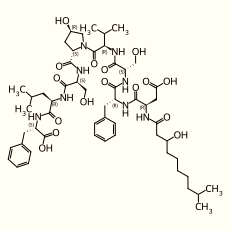 CC(C)CCCCCC(O)CC(=O)N[C@H](CC(=O)O)C(=O)N[C@H](Cc1ccccc1)C(=O)N[C@@H](CO)C(=O)N[C@@H](C(=O)N1C[C@H](O)C[C@H]1C(=O)N[C@@H](CO)C(=O)N[C@H](CC(C)C)C(=O)N[C@@H](Cc1ccccc1)C(=O)O)C(C)C